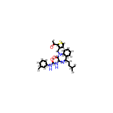 CC(=O)c1sccc1CN1C(=O)[C@H](NC(=O)Nc2cccc(C)c2)N=C(CCC(C)C)c2ccccc21